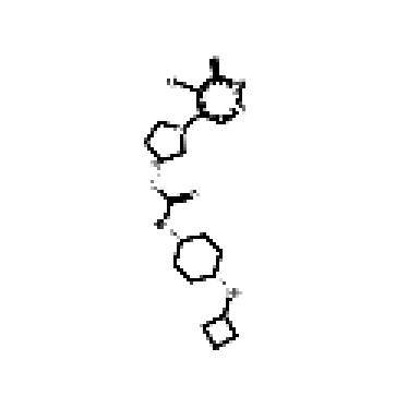 O=C(N[C@H]1CC[C@@H](NC2CCC2)CC1)O[C@@H]1CCN(c2cn[nH]c(=O)c2Cl)C1